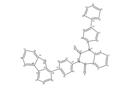 O=c1c2ccccc2n(-c2ccc(-c3ccccc3)cc2)c(=O)n1-c1ccc(-c2cccc3c2oc2ccccc23)cc1